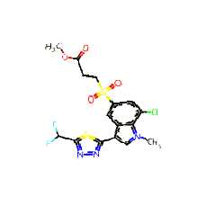 COC(=O)CCS(=O)(=O)c1cc(Cl)c2c(c1)c(-c1nnc(C(F)F)s1)cn2C